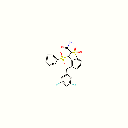 NC(=O)C1C(S(=O)(=O)c2ccccc2)c2c(Cc3cc(F)cc(F)c3)cccc2S1(=O)=O